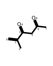 C=C(C)C(=O)CC(C)=O